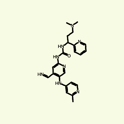 Cc1cc(Nc2cnc(NC(=O)NC(CCN(C)C)c3ccccn3)cc2C=N)ccn1